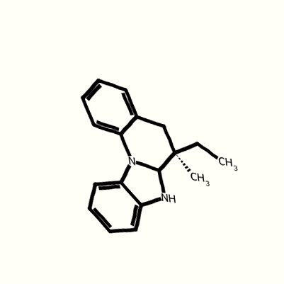 CC[C@]1(C)Cc2ccccc2N2c3ccccc3NC21